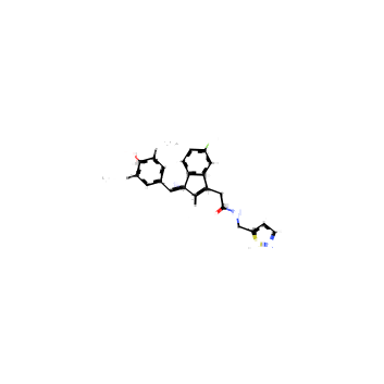 COc1cc(/C=C2/C(C)=C(CC(=O)NCc3ccns3)c3cc(F)ccc32)cc(OC)c1O